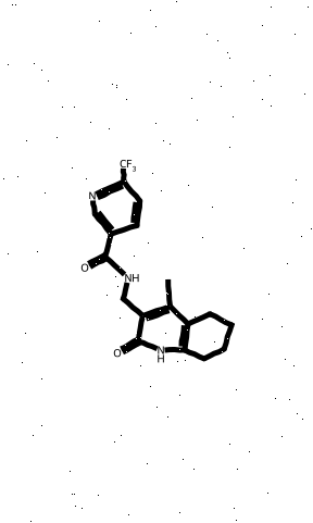 Cc1c2c([nH]c(=O)c1CNC(=O)c1ccc(C(F)(F)F)nc1)CCCC2